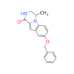 CC1CNC(=O)c2cc3cc(OCc4ccccc4)ccc3n21